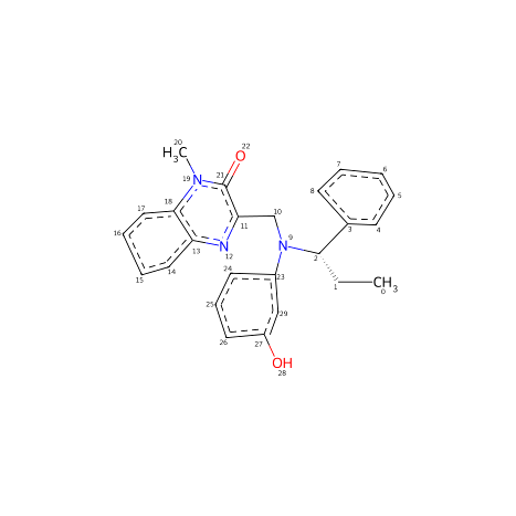 CC[C@@H](c1ccccc1)N(Cc1nc2ccccc2n(C)c1=O)c1cccc(O)c1